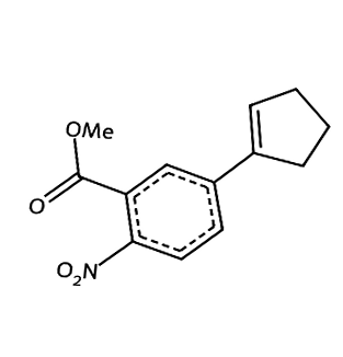 COC(=O)c1cc(C2=CCCC2)ccc1[N+](=O)[O-]